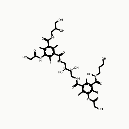 O=C(CO)Nc1c(I)c(C(=O)NCC(O)CO)c(I)c(C(=O)NC[C@H](O)[C@H](O)CNC(=O)c2c(I)c(NC(=O)CO)c(I)c(C(=O)N(O)CCCO)c2I)c1I